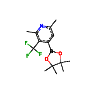 Cc1cc(B2OC(C)(C)C(C)(C)O2)c(C(F)(F)F)c(C)n1